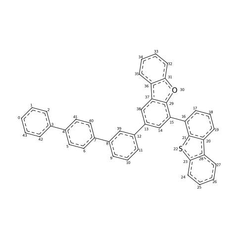 c1ccc(-c2ccc(-c3cccc(-c4cc(-c5cccc6c5sc5ccccc56)c5oc6ccccc6c5c4)c3)cc2)cc1